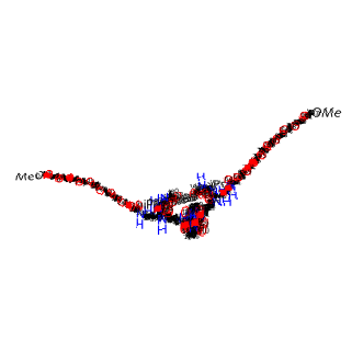 COCCOCCOCCOCCOCCOCCOCCOCCOCCOCC(=O)NCCCC[C@H](NC(=O)CCCNC(=O)[C@H]([C@@H](C(=O)NCCCC(=O)N[C@@H](CCCCNC(=O)COCCOCCOCCOCCOCCOCCOCCOCCOCCOC)C(=O)N[C@H](C(=O)N[C@@H](C)C(=O)OC(C)(C)C)C(C)C)N1C(=O)C=CC1=O)N1C(=O)C=CC1=O)C(=O)N[C@H](C(=O)N[C@@H](C)C(=O)OC(C)(C)C)C(C)C